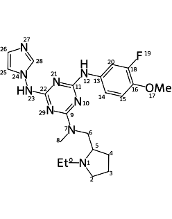 CCN1CCCC1CN(C)c1nc(Nc2ccc(OC)c(F)c2)nc(Nn2ccnc2)n1